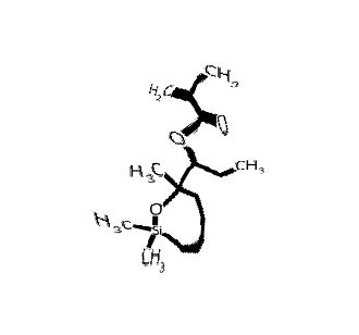 C=C(C)C(=O)OC(CC)C1(C)CCC[Si](C)(C)O1